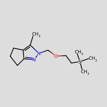 Cc1c2c(nn1COCC[Si](C)(C)C)CCC2